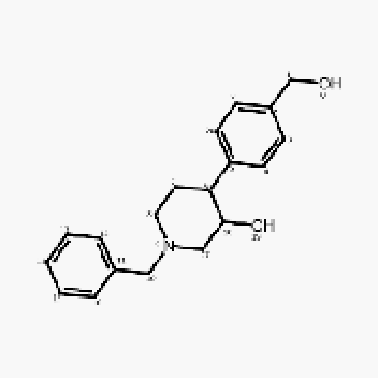 OCc1ccc(C2CCN(Cc3ccccc3)CC2O)cc1